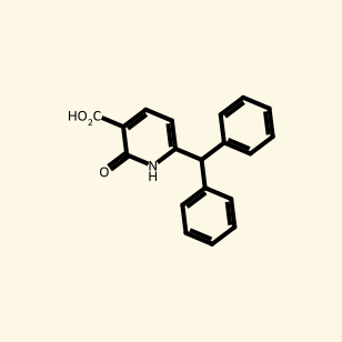 O=C(O)c1ccc(C(c2ccccc2)c2ccccc2)[nH]c1=O